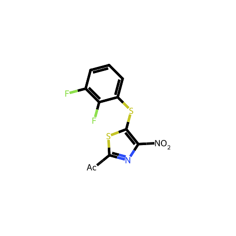 CC(=O)c1nc([N+](=O)[O-])c(Sc2cccc(F)c2F)s1